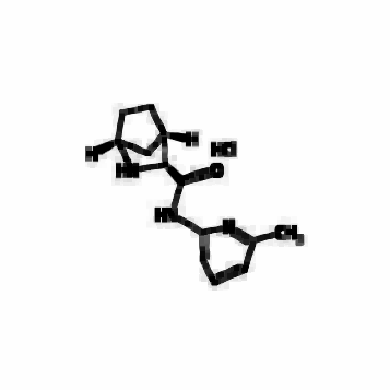 Cc1cccc(NC(=O)[C@H]2N[C@@H]3CC[C@H]2C3)n1.Cl